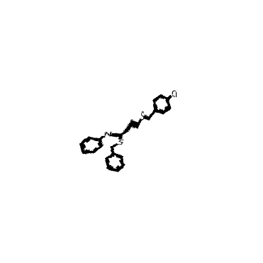 Clc1ccc(CSC=CC(=Nc2ccccc2)SCc2ccccc2)cc1